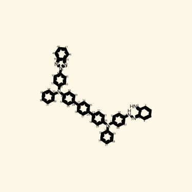 N=C1C=CC=C/C1=N/Nc1ccc(N(c2ccccc2)c2ccc(-c3ccc(-c4ccc(N(c5ccccc5)c5ccc(-n6nc7ccccc7n6)cc5)cc4)cc3)cc2)cc1